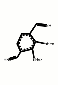 CCCCCCc1c(C=N)ccc(C=N)c1CCCCCC